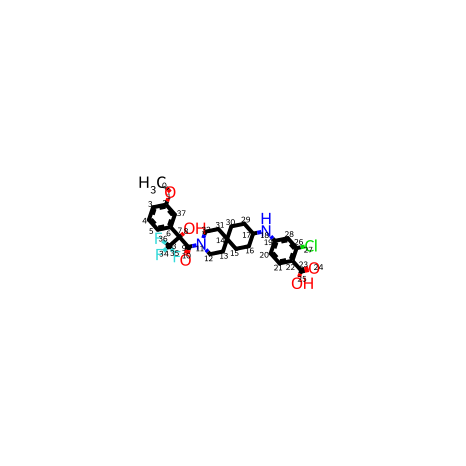 COc1cccc(C(O)(C(=O)N2CCC3(CCC(Nc4ccc(C(=O)O)c(Cl)c4)CC3)CC2)C(F)(F)F)c1